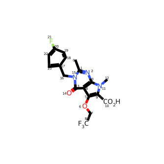 Cc1nc2c(c(OCC(F)(F)F)c(C(=O)O)n2C)c(=O)n1Cc1ccc(F)cc1